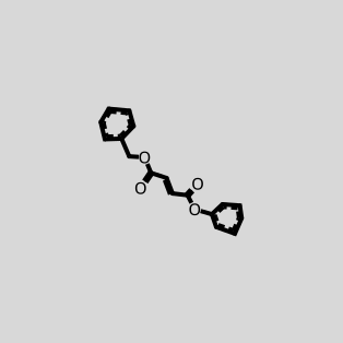 O=C(C=CC(=O)Oc1ccccc1)OCc1ccccc1